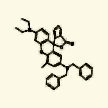 CCN(CC)c1ccc2c(c1)Oc1c(C)cc(N(Cc3ccccc3)Cc3ccccc3)cc1C21OC(=O)c2ccccc21